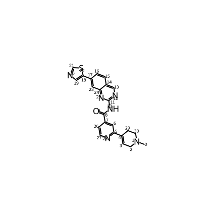 CN1CC=C(c2cc(C(=O)Nc3ncc4ccc(-c5cncs5)cc4n3)ccn2)CC1